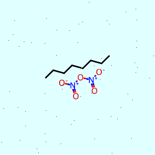 CCCCCCCC.O=[N+]([O-])O[N+](=O)[O-]